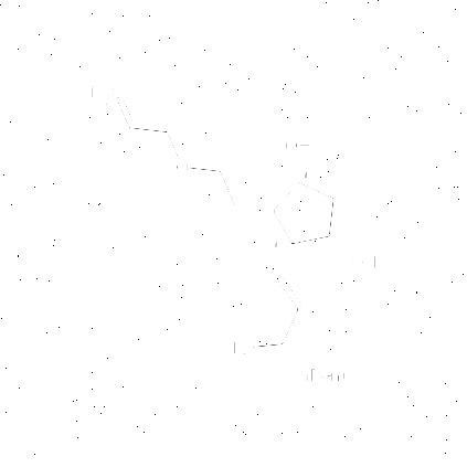 C=CCOCC[C@H]1[C@@H](C=C[C@@H](O)CCCCC)[C@@H](O)C[C@H]1O